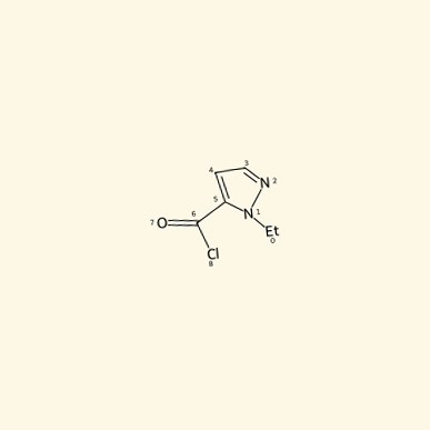 CCn1nccc1C(=O)Cl